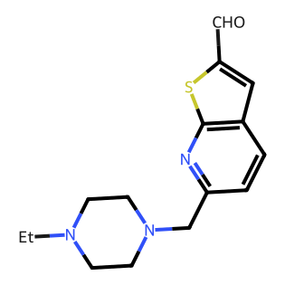 CCN1CCN(Cc2ccc3cc(C=O)sc3n2)CC1